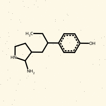 CCC(CC1CCNC1N)c1ccc(O)cc1